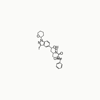 COCC(CC(O)c1ccc2c(c1)c(I)nn2C1CCCCO1)NC(=O)OCc1ccccc1